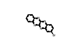 Brc1ccc2nc3nc4ccccc4nc3nc2c1